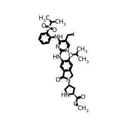 COC(=O)[C@@H]1C[C@H](N2Cc3cc(OC(C)C)c(Nc4ncc(CI)c(Nc5ccccc5S(=O)(=O)C(C)C)n4)cc3C2=O)CN1